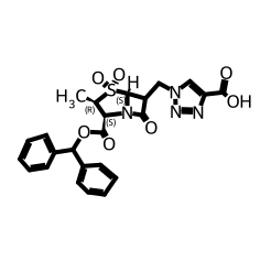 C[C@@H]1[C@H](C(=O)OC(c2ccccc2)c2ccccc2)N2C(=O)C(Cn3cc(C(=O)O)nn3)[C@@H]2S1(=O)=O